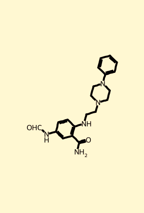 NC(=O)c1cc(NC=O)ccc1NCCN1CCN(c2ccccc2)CC1